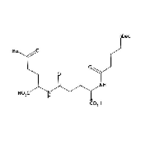 CCCCCCCCCCCCCC(=O)N[C@H](CCC(=O)NC(CCC(=O)C(C)(C)C)C(=O)O)C(=O)O